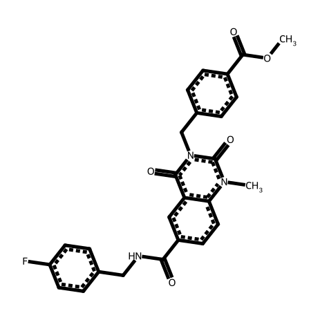 COC(=O)c1ccc(Cn2c(=O)c3cc(C(=O)NCc4ccc(F)cc4)ccc3n(C)c2=O)cc1